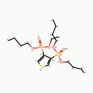 CCCCOP(=O)(OCC)c1cscc1P(=O)(OCCCC)OCCCC